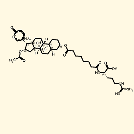 CC(=O)O[C@H]1C[C@]2(O)[C@@H]3CC[C@@H]4C[C@@H](OC(=O)CCCCCCC(=O)N[C@@H](CCCNC(=N)N)C(=O)O)CC[C@]4(C)[C@H]3CC[C@]2(C)[C@H]1c1ccc(=O)oc1